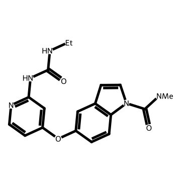 CCNC(=O)Nc1cc(Oc2ccc3c(ccn3C(=O)NC)c2)ccn1